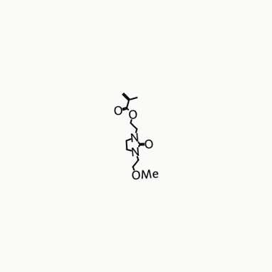 C=C(C)C(=O)OCCN1CCN(CCOC)C1=O